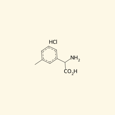 Cc1cccc(C(N)C(=O)O)c1.Cl